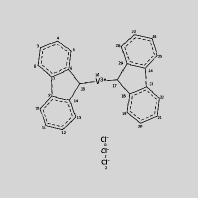 [Cl-].[Cl-].[Cl-].c1ccc2c(c1)-c1ccccc1[CH]2[V+3][CH]1c2ccccc2-c2ccccc21